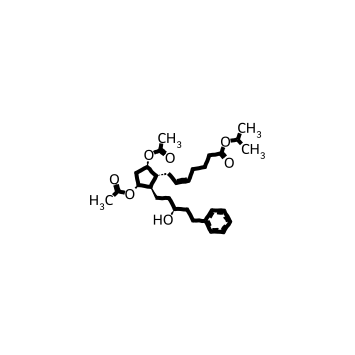 CC(=O)O[C@H]1C[C@@H](OC(C)=O)[C@H](CC[C@@H](O)CCc2ccccc2)[C@H]1C/C=C\CCCC(=O)OC(C)C